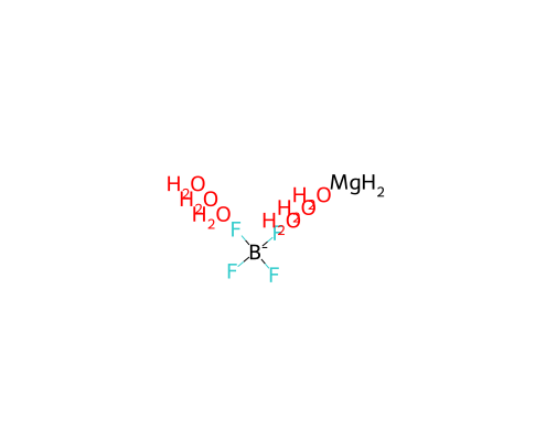 F[B-](F)(F)F.O.O.O.O.O.O.[MgH2]